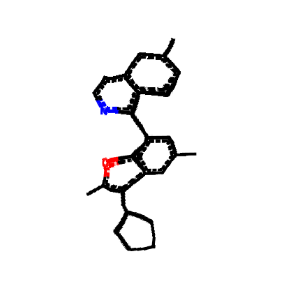 Cc1ccc2c(-c3cc(C)cc4c(C5CCCC5)c(C)oc34)nccc2c1